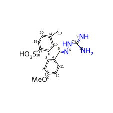 COc1ccc(C=NNC(=N)N)cc1.Cc1ccc(S(=O)(=O)O)cc1